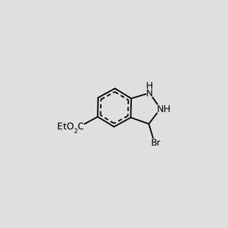 CCOC(=O)c1ccc2c(c1)C(Br)NN2